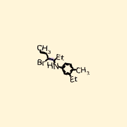 CC=C/C(Br)=C(\CC)Nc1ccc(C)c(CC)c1